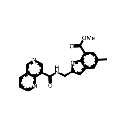 COC(=O)c1cc(C)cc2cc(CNC(=O)c3cncc4cccnc34)oc12